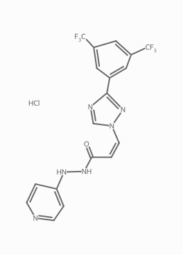 Cl.O=C(/C=C\n1cnc(-c2cc(C(F)(F)F)cc(C(F)(F)F)c2)n1)NNc1ccncc1